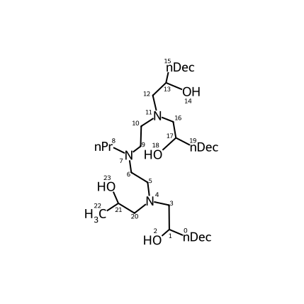 CCCCCCCCCCC(O)CN(CCN(CCC)CCN(CC(O)CCCCCCCCCC)CC(O)CCCCCCCCCC)CC(C)O